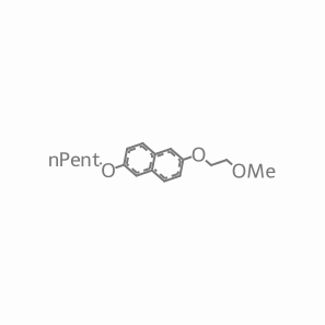 CCCCCOc1ccc2cc(OCCOC)ccc2c1